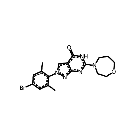 Cc1cc(Br)cc(C)c1-n1cc2c(=O)[nH]c(N3CCCOCC3)nc2n1